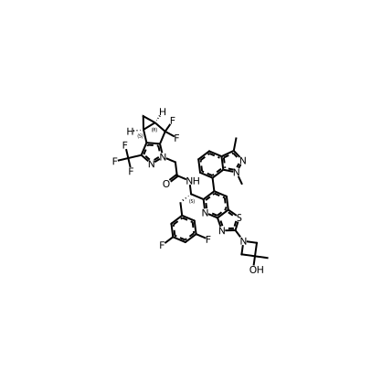 Cc1nn(C)c2c(-c3cc4sc(N5CC(C)(O)C5)nc4nc3[C@H](Cc3cc(F)cc(F)c3)NC(=O)Cn3nc(C(F)(F)F)c4c3C(F)(F)[C@@H]3C[C@H]43)cccc12